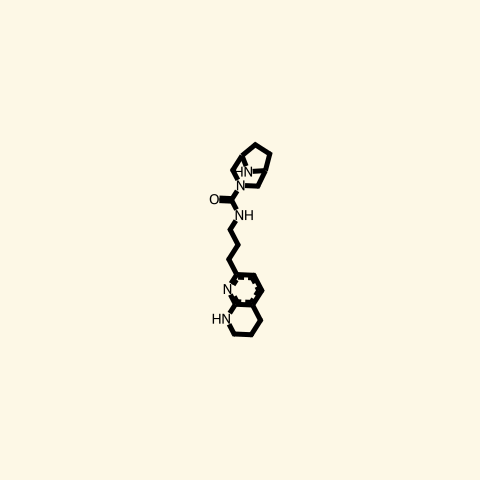 O=C(NCCCc1ccc2c(n1)NCCC2)N1CC2CCC(C1)N2